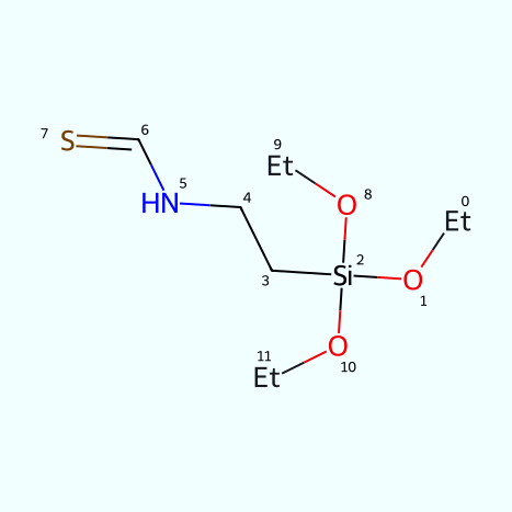 CCO[Si](CCNC=S)(OCC)OCC